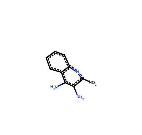 Nc1c([N+](=O)[O-])nc2ccccc2c1N